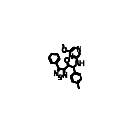 COc1cncc(NC(C(=O)c2nsnc2-c2ccccc2)c2ccc(C)cc2)n1